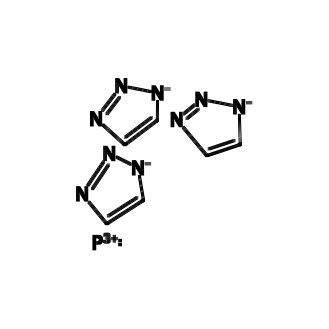 [P+3].c1c[n-]nn1.c1c[n-]nn1.c1c[n-]nn1